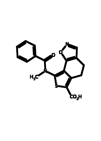 CN(C(=O)c1ccccc1)c1sc(C(=O)O)c2c1-c1oncc1CC2